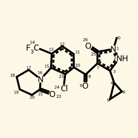 Cn1[nH]c(C2CC2)c(C(=O)c2ccc(C(F)(F)F)c(N3CCCCC3=O)c2Cl)c1=O